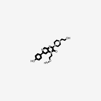 CCCOCCn1c(=O)c(N2CCN(CCO)CC2)nc2cnc(-c3ccc(O)cc3)cc21